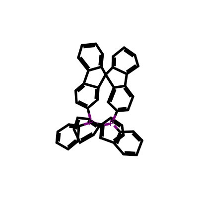 c1ccc(P(c2ccccc2)c2ccc3c(c2)C2(c4ccccc4-3)c3ccccc3-c3ccc(P(c4ccccc4)c4ccccc4)cc32)cc1